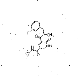 CN(Cc1cccc(F)c1)C(=O)c1cc(C(=O)NC2CC2)c[nH]c1=O